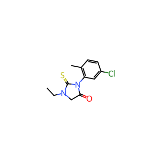 CCN1CC(=O)N(c2cc(Cl)ccc2C)C1=S